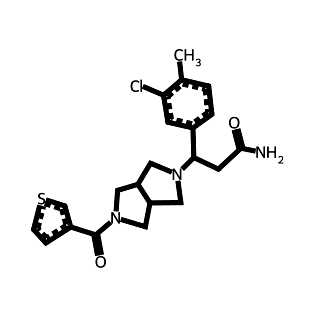 Cc1ccc(C(CC(N)=O)N2CC3CN(C(=O)c4ccsc4)CC3C2)cc1Cl